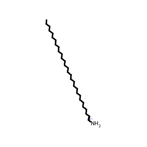 CCCCCCCCCCCCCCCCCCCCCCCCCCCC/C=C/N